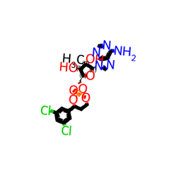 C[C@@]1(O)[C@H](O)[C@@H](COP2(=O)OCCC(c3cc(Cl)cc(Cl)c3)O2)O[C@H]1n1cnc2c(N)ncnc21